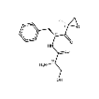 C[C@]1(C(=O)[C@H](Cc2ccccc2)NC(=O)[C@@H](N)CO)CO1